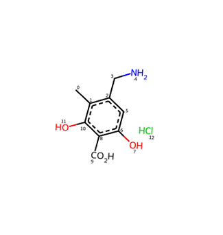 Cc1c(CN)cc(O)c(C(=O)O)c1O.Cl